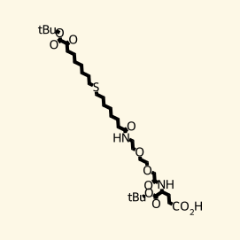 CC(C)(C)OC(=O)C(=O)CCCCCCCSCCCCCCCC(=O)NCCOCCOCC(=O)NC(CCC(=O)O)C(=O)OC(C)(C)C